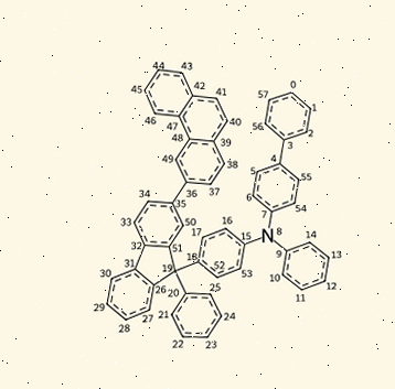 c1ccc(-c2ccc(N(c3ccccc3)c3ccc(C4(c5ccccc5)c5ccccc5-c5ccc(-c6ccc7ccc8ccccc8c7c6)cc54)cc3)cc2)cc1